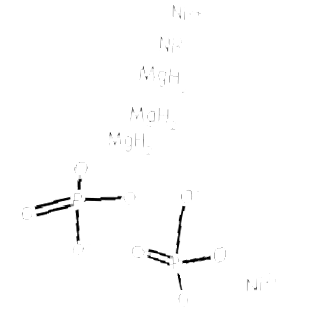 O=P([O-])([O-])[O-].O=P([O-])([O-])[O-].[MgH2].[MgH2].[MgH2].[Ni+2].[Ni+2].[Ni+2]